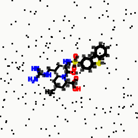 C[C@@H]1CCN(C(=O)[C@H](CCCNC(=N)N)NS(=O)(=O)c2ccc3sc4ccccc4c3c2)[C@@H](C(=O)O)C1